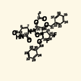 CC(=O)O[C@H]1[C@H](n2ccc(=O)[nH]c2=O)O[C@@](COCc2ccccc2)(CC(F)F)[C@H]1OCc1ccccc1